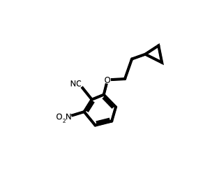 N#Cc1c(OCCC2CC2)cccc1[N+](=O)[O-]